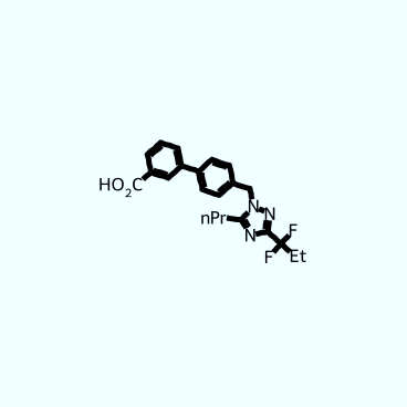 CCCc1nc(C(F)(F)CC)nn1Cc1ccc(-c2cccc(C(=O)O)c2)cc1